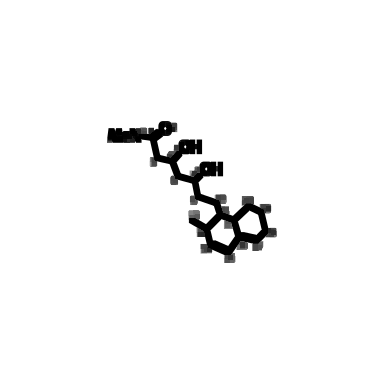 CNC(=O)CC(O)CC(O)CCC1C(C)C=CC2=CCCCC21